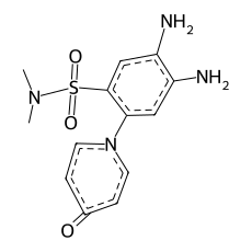 CN(C)S(=O)(=O)c1cc(N)c(N)cc1-n1ccc(=O)cc1